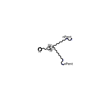 CCCCC/C=C\C/C=C\CCCCCCCCC1(CCCCCCCC/C=C\C/C=C\CCCCC)O[C@@H]2CN(CCc3cccnc3)C[C@H]2O1